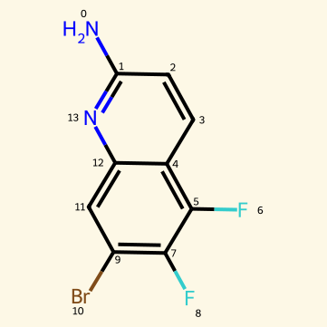 Nc1ccc2c(F)c(F)c(Br)cc2n1